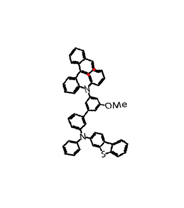 COc1cc(-c2cccc(N(c3ccccc3)c3ccc4c(c3)sc3ccccc34)c2)cc(N(c2ccccc2)c2ccccc2-c2cccc3ccccc23)c1